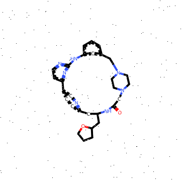 O=C1CN2CCN(CC2)Cc2cccc(c2)Nc2nccc(n2)-c2ccc(nc2)CC(CC2CCCO2)N1